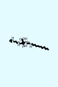 CCCCCCCCCCCCNCCNC1C(NC)C(CNCCCNC(C)(C)C)C1C(=O)O